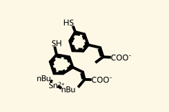 CC(=Cc1cccc(S)c1)C(=O)[O-].CC(=Cc1cccc(S)c1)C(=O)[O-].CCC[CH2][Sn+2][CH2]CCC